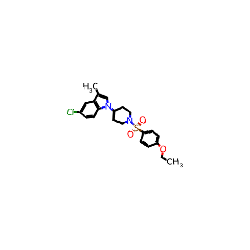 CCOc1ccc(S(=O)(=O)N2CCC(n3cc(C)c4cc(Cl)ccc43)CC2)cc1